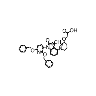 Cn1c(=O)n(-c2ccc(OCc3ccccc3)nc2OCc2ccccc2)c2cccc(N3CCCC(OCC(=O)O)C3)c21